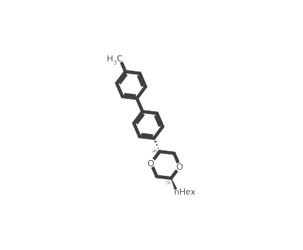 CCCCCC[C@H]1CO[C@H](c2ccc(-c3ccc(C)cc3)cc2)CO1